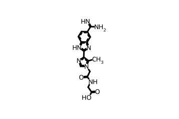 Cc1c(-c2nc3cc(C(=N)N)ccc3[nH]2)ncn1CC(=O)NCC(=O)O